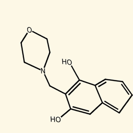 Oc1cc2ccccc2c(O)c1CN1CCOCC1